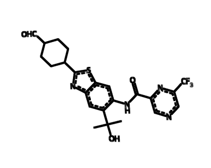 CC(C)(O)c1cc2nc(C3CCC(C=O)CC3)sc2cc1NC(=O)c1cncc(C(F)(F)F)n1